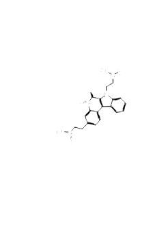 CCN(CC)CCc1ccc2c(c1)[nH]c(=O)c1c2c2ccccc2n1CCN(CC)CC